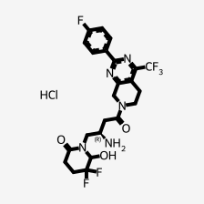 Cl.N[C@H](CC(=O)N1CCc2c(nc(-c3ccc(F)cc3)nc2C(F)(F)F)C1)CN1C(=O)CCC(F)(F)C1O